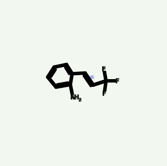 Nc1ccccc1/C=C/C(F)(F)F